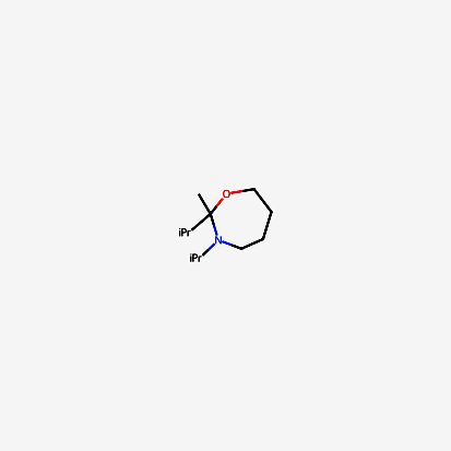 CC(C)N1CCCCOC1(C)C(C)C